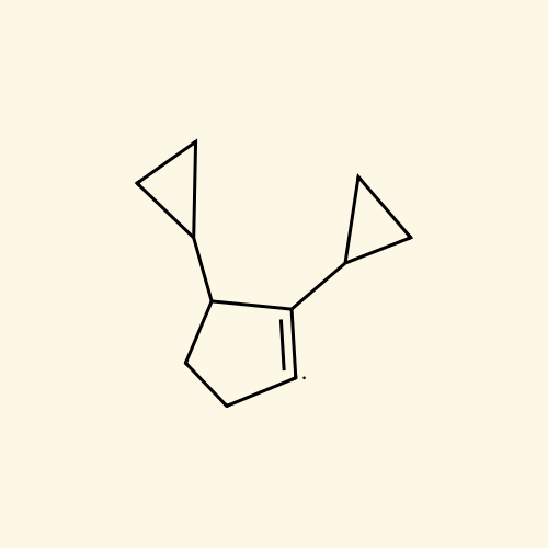 [C]1=C(C2CC2)C(C2CC2)CC1